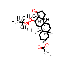 CC(=O)O[C@@H]1CC[C@]2(C)C3CC(OOC(C)(C)C)[C@]4(C)C(=O)CC[C@H]4[C@@H]3CC[C@@H]2C1